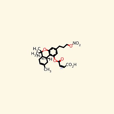 CC1=CC[C@@H]2[C@@H](C1)c1c(OC(=O)/C=C\C(=O)O)cc(CCCO[N+](=O)[O-])cc1OC2(C)C